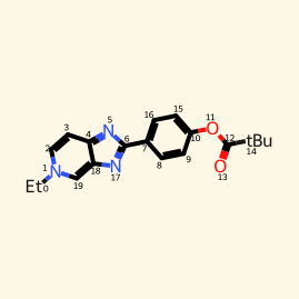 CCn1ccc2nc(-c3ccc(OC(=O)C(C)(C)C)cc3)nc-2c1